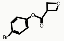 O=C(Oc1ccc(Br)cc1)C1COC1